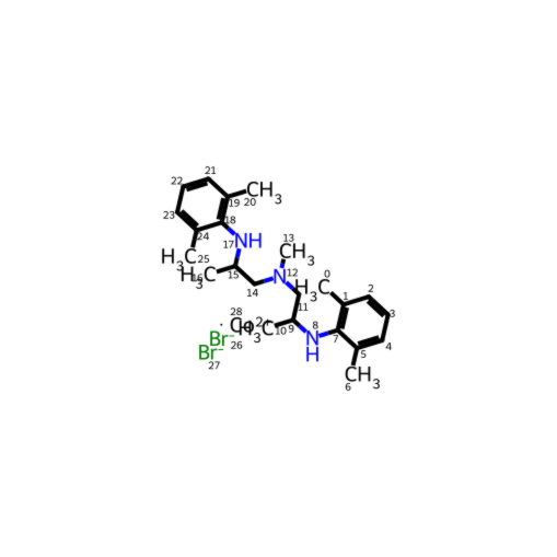 Cc1cccc(C)c1NC(C)CN(C)CC(C)Nc1c(C)cccc1C.[Br-].[Br-].[Co+2]